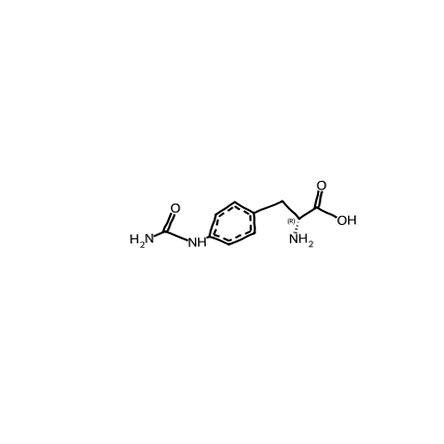 NC(=O)Nc1ccc(C[C@@H](N)C(=O)O)cc1